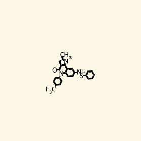 Cn1cc2c(=O)n(-c3ccc(C(F)(F)F)cc3)c3ccc(NSc4ccccc4)cc3c2n1